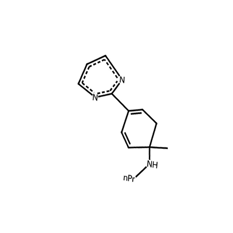 CCCNC1(C)C=CC(c2ncccn2)=CC1